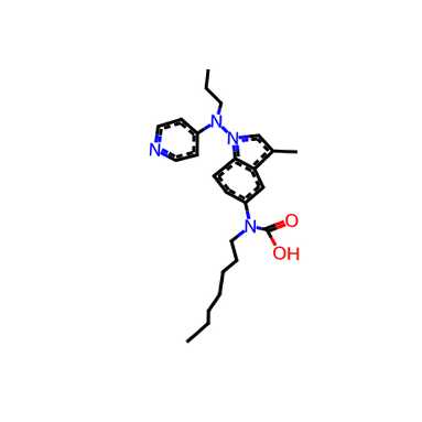 CCCCCCCN(C(=O)O)c1ccc2c(c1)c(C)cn2N(CCC)c1ccncc1